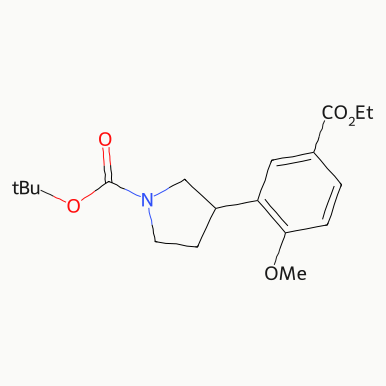 CCOC(=O)c1ccc(OC)c(C2CCN(C(=O)OC(C)(C)C)C2)c1